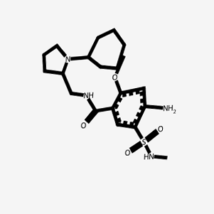 CNS(=O)(=O)c1cc(C(=O)NCC2CCCN2C2CCCCC2)c(OC)cc1N